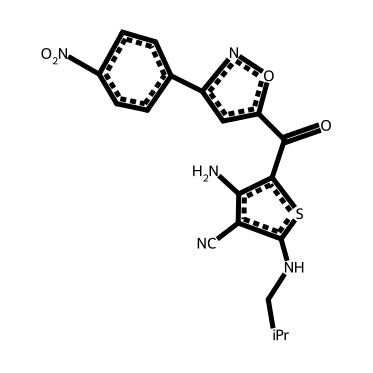 CC(C)CNc1sc(C(=O)c2cc(-c3ccc([N+](=O)[O-])cc3)no2)c(N)c1C#N